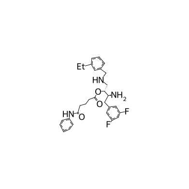 CCc1cccc(CNC[C@@H](OC(=O)CCCC(=O)Nc2ccccc2)[C@@H](N)Cc2cc(F)cc(F)c2)c1